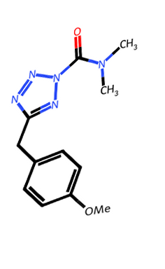 COc1ccc(Cc2nnn(C(=O)N(C)C)n2)cc1